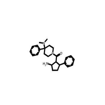 CN(C)C1(c2ccccc2)CCN(C(=O)C2C(N)CCC2c2ccccc2)CC1